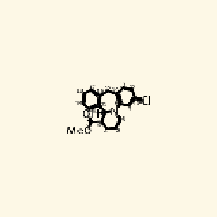 COC(=O)[C@@H]1CCCN2c3cc(Cl)ccc3Cc3ccccc3[C@@H]12